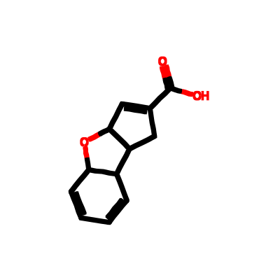 O=C(O)C1=CC2OC3C=CC=CC3C2C1